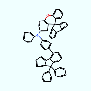 c1ccc(N(c2ccc(-c3cccc4c3-c3ccccc3C4(c3ccccc3)c3ccccc3)cc2)c2ccc3c(c2)C2(c4ccccc4O3)c3ccccc3-c3ccccc32)cc1